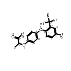 CC(Oc1ccc(Oc2ccc(Cl)cc2C(F)(F)F)cc1)C(=O)Cl